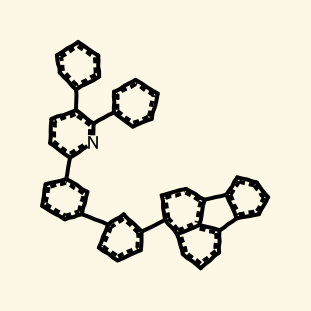 c1ccc(-c2ccc(-c3cccc(-c4cccc(-c5ccc6c7c(cccc57)-c5ccccc5-6)c4)c3)nc2-c2ccccc2)cc1